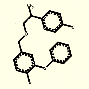 Fc1ccc(COCC(c2ccc(Cl)cc2)C(F)(F)F)cc1Sc1ccccc1